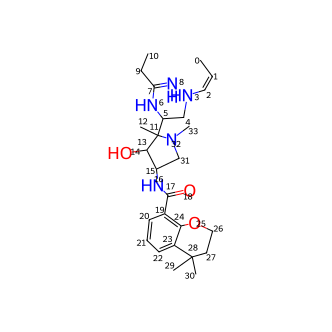 C/C=C\NCC(NC(=N)CC)C1(C)C(O)C(NC(=O)c2cccc3c2OCCC3(C)C)CN1C